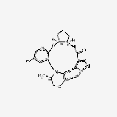 C[C@@H]1COc2cn3ncc4c3nc2N1Cc1cc(F)cnc1O[C@H]1CCC[C@H]1NC4=O